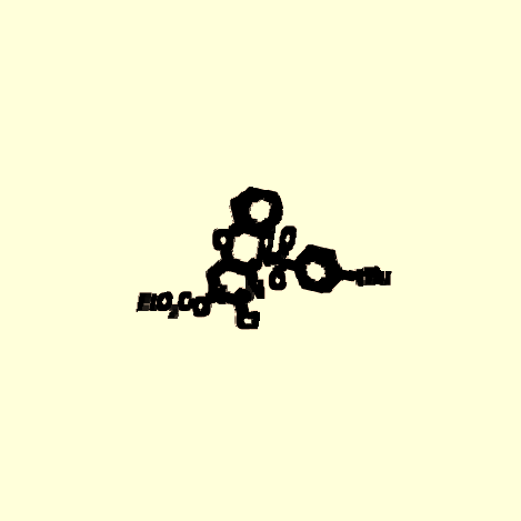 CCOC(=O)ON1CC(Oc2ccccc2)=C(NS(=O)(=O)c2ccc(C(C)(C)C)cc2)N=C1Cl